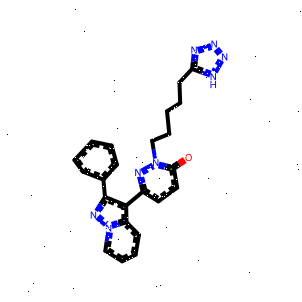 O=c1ccc(-c2c(-c3ccccc3)nn3ccccc23)nn1CCCCCc1nnn[nH]1